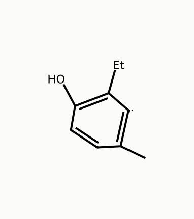 CCc1[c]c(C)ccc1O